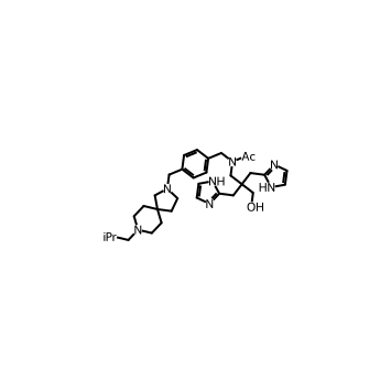 CC(=O)N(Cc1ccc(CN2CCC3(CCN(CC(C)C)CC3)C2)cc1)CC(CO)(Cc1ncc[nH]1)Cc1ncc[nH]1